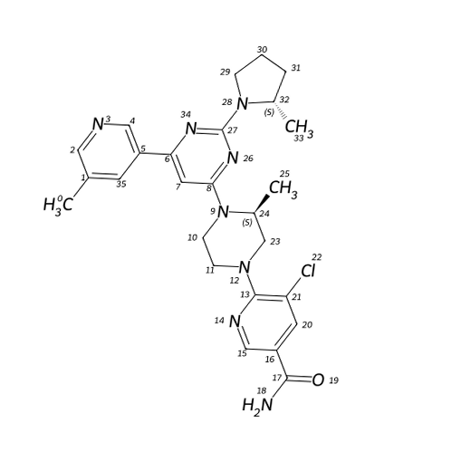 Cc1cncc(-c2cc(N3CCN(c4ncc(C(N)=O)cc4Cl)C[C@@H]3C)nc(N3CCC[C@@H]3C)n2)c1